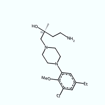 CCc1cc(Cl)c(OC)c(N2CCN(C[C@@](C)(O)CCN)CC2)c1